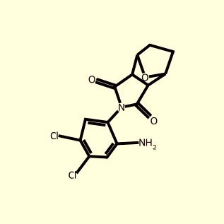 Nc1cc(Cl)c(Cl)cc1N1C(=O)C2C3CCC(O3)C2C1=O